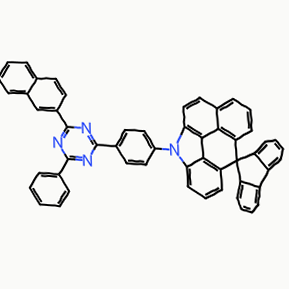 c1ccc(-c2nc(-c3ccc(-n4c5cccc6c5c5c7c(cccc7ccc54)C64c5ccccc5-c5ccccc54)cc3)nc(-c3ccc4ccccc4c3)n2)cc1